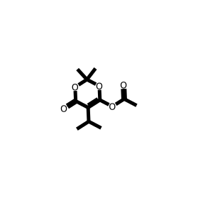 CC(=O)OC1=C(C(C)C)C(=O)OC(C)(C)O1